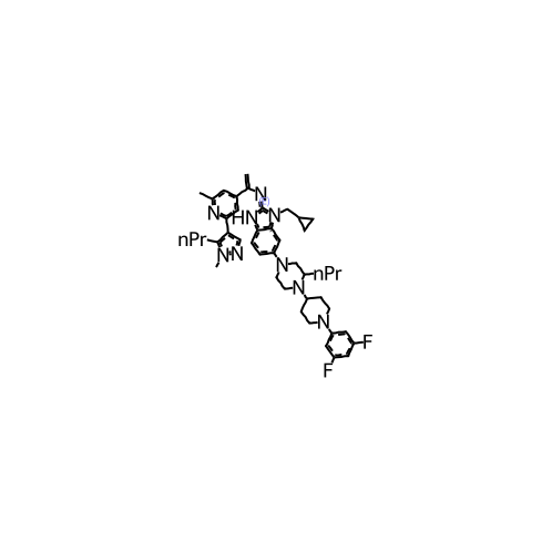 C=C(/N=c1\[nH]c2ccc(N3CCN(C4CCN(c5cc(F)cc(F)c5)CC4)C(CCC)C3)cc2n1CC1CC1)c1cc(C)nc(-c2cnn(C)c2CCC)c1